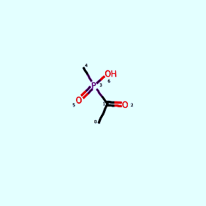 CC(=O)P(C)(=O)O